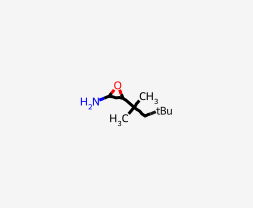 CC(C)(C)CC(C)(C)C1OC1N